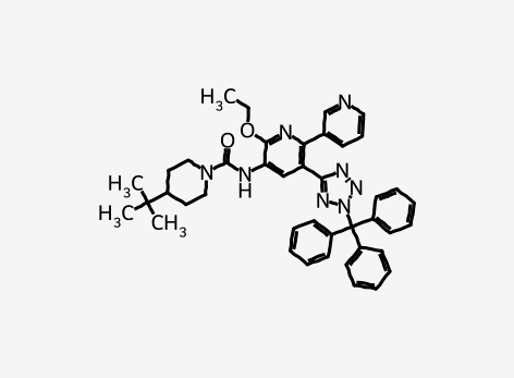 CCOc1nc(-c2cccnc2)c(-c2nnn(C(c3ccccc3)(c3ccccc3)c3ccccc3)n2)cc1NC(=O)N1CCC(C(C)(C)C)CC1